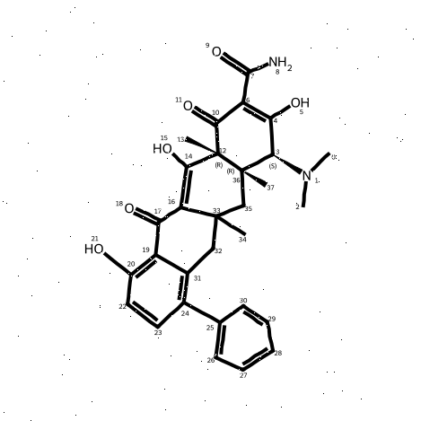 CN(C)[C@@H]1C(O)=C(C(N)=O)C(=O)[C@@]2(C)C(O)=C3C(=O)c4c(O)ccc(-c5ccccc5)c4CC3(C)C[C@@]12C